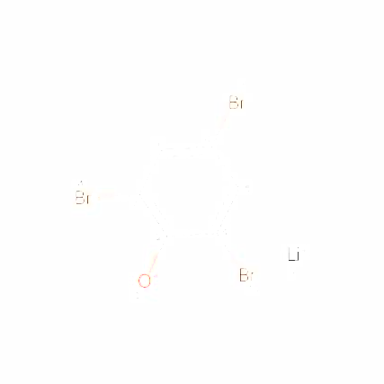 [Li+].[O-]c1c(Br)cc(Br)cc1Br